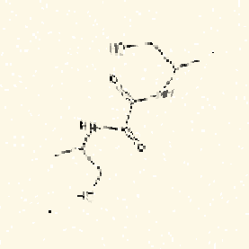 CC(CO)NC(=O)C(=O)NC(C)CO